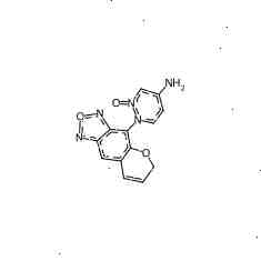 Nc1ccn(-c2c3c(cc4nonc24)C=CCO3)[n+](=O)c1